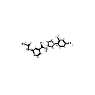 CC(C)C(=O)Nc1cc(C(=O)N[C@@H]2CCN(c3ccc(C(F)(F)F)cc3Cl)C2)ccn1